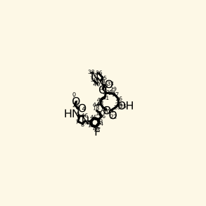 COCC(=O)N[C@H]1CCN(c2cc(F)cc(/C=C(\C)[C@H]3OC(=O)C[C@@H](O)CC[C@@H](C)[C@H](OC(=O)N4CCN(C)CC4)/C=C/[C@@H]3C)c2)C1